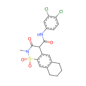 CN1C(=O)C(C(=O)Nc2ccc(Cl)c(Cl)c2)c2cc3c(cc2S1(=O)=O)CCCC3